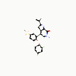 C=C(C)c1cc2c(-c3cc(S(C)(=O)=O)ccc3Oc3ccc(F)cc3F)cn(C)c(=O)c2[nH]1